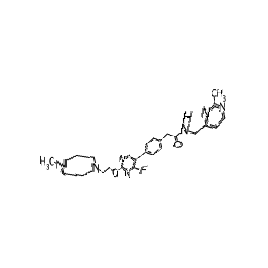 Cc1nccc(CNC(=O)Cc2ccc(-c3cnc(OCCN4CCN(C)CC4)nc3F)cc2)n1